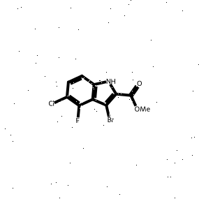 COC(=O)c1[nH]c2ccc(Cl)c(F)c2c1Br